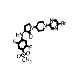 CS(=O)(=O)c1cc(F)c(N[C@H]2CCN(C3CCN(c4cnc(Br)cn4)CC3)C2=O)cc1F